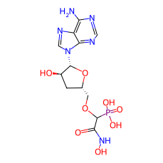 Nc1ncnc2c1ncn2[C@@H]1O[C@H](COC(C(=O)NO)P(=O)(O)O)C[C@H]1O